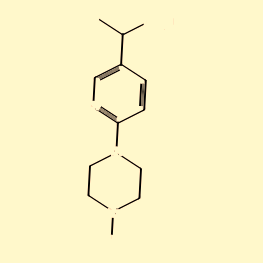 CC(=O)N1CCN(c2ccc(C(C)C(=O)O)cn2)CC1